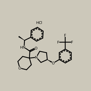 C[C@H](NC(=O)C1(N2CC[C@@H](Oc3cccc(C(F)(F)F)c3)C2)CCOCC1)c1ccccc1.Cl